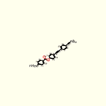 CCCCC#Cc1ccc(C#Cc2ccc(OC(=O)c3ccc(CCCCCC)cc3)cc2)cc1